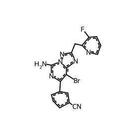 N#Cc1cccc(-c2nc(N)n3nc(Cc4ncccc4F)nc3c2Br)c1